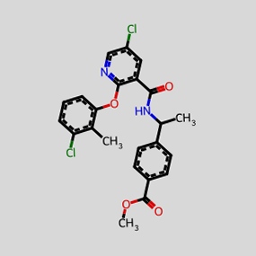 COC(=O)c1ccc(C(C)NC(=O)c2cc(Cl)cnc2Oc2cccc(Cl)c2C)cc1